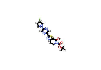 CC(C)(C)OC(=O)N1CCc2nc(-c3cnc(N4CC[C@@H](F)C4)cn3)sc2C1=O